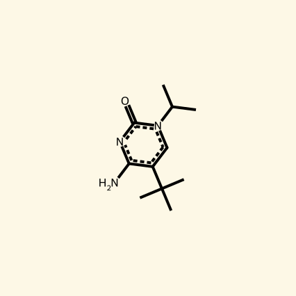 CC(C)n1cc(C(C)(C)C)c(N)nc1=O